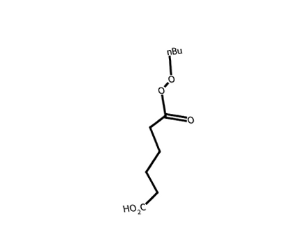 CCCCOOC(=O)CCCCC(=O)O